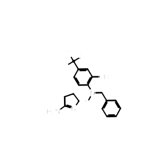 Cc1cc(C(F)(F)F)ccc1N(Cc1ccccc1)C[C@H]1CCC(N)=N1